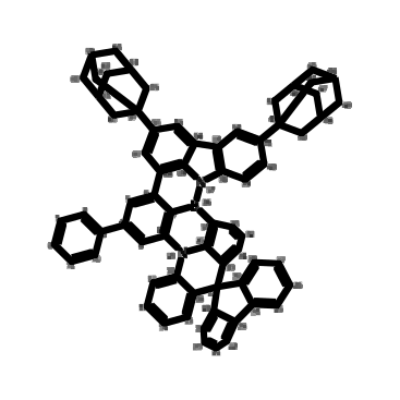 c1ccc(-c2cc3c4c(c2)N2c5ccccc5C5(c6ccccc6-c6ccccc65)c5cccc(c52)B4n2c4ccc(C56CC7CC(CC(C7)C5)C6)cc4c4cc(C56CC7CC(CC(C7)C5)C6)cc-3c42)cc1